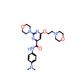 CN(C)c1ccc(NC(=O)c2cc(OCCN3CCOCC3)nc(N3CCOCC3)n2)cc1